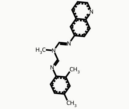 Cc1ccc(N=CN(C)C=Nc2ccc3ncccc3c2)c(C)c1